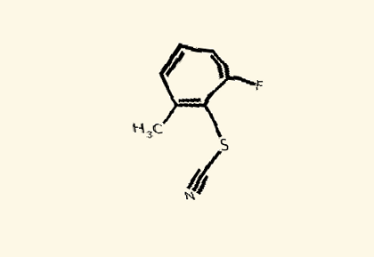 Cc1cccc(F)c1SC#N